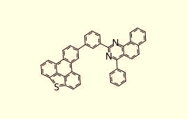 c1ccc(-c2nc(-c3cccc(-c4ccc5c(c4)c4cccc6sc7cccc5c7c64)c3)nc3c2ccc2ccccc23)cc1